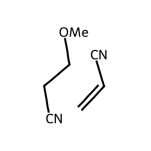 C=CC#N.COCCC#N